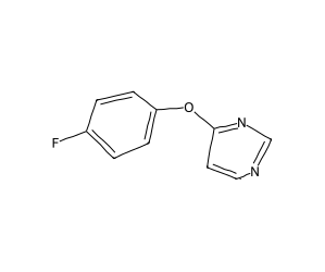 Fc1ccc(Oc2c[c]ncn2)cc1